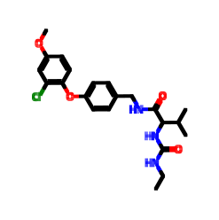 CCNC(=O)NC(C(=O)NCc1ccc(Oc2ccc(OC)cc2Cl)cc1)C(C)C